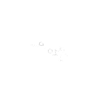 COc1cccc(COc2ccc(S(=O)(=O)N3C[C@H](C)O[C@@H](C)[C@@H]3C(=O)NO)cc2)c1